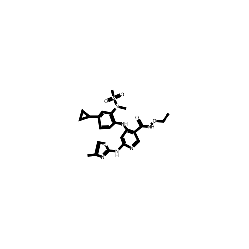 CCONC(=O)c1cnc(Nc2nc(C)cs2)cc1Nc1ccc(C2CC2)cc1N(C)S(C)(=O)=O